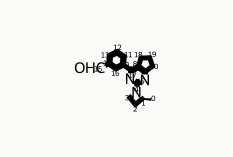 C[C@H]1CCN1c1nc2c(c(-c3cccc(C=O)c3)n1)CCC2